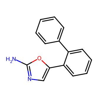 Nc1ncc(-c2ccccc2-c2ccccc2)o1